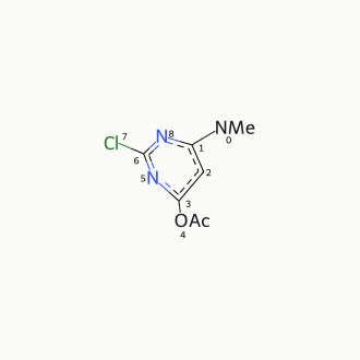 CNc1cc(OC(C)=O)nc(Cl)n1